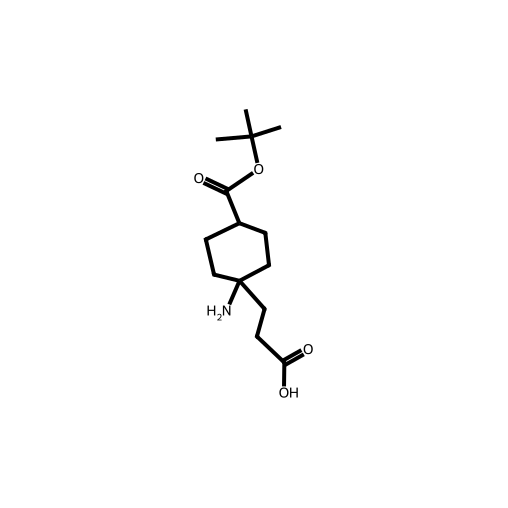 CC(C)(C)OC(=O)C1CCC(N)(CCC(=O)O)CC1